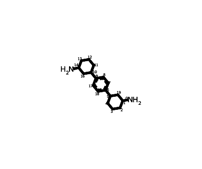 NC1CCCC(c2ccc(C3CCCC(N)C3)cc2)C1